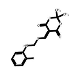 CC1(C)OC(=O)C(=CSCNc2ccccc2I)C(=O)O1